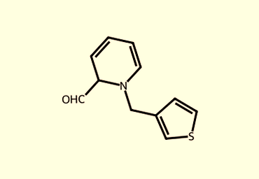 O=CC1C=CC=CN1Cc1ccsc1